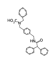 O=C(NCc1ccc(CN(Cc2ccccc2)C(=O)O)cc1)C(c1ccccc1)c1ccccc1